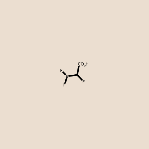 O=C(O)C(F)B(F)F